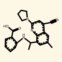 Cc1cc(C(C)Nc2ccccc2C(=O)O)c2nc(N3CCCC3)cc(C#N)c2c1